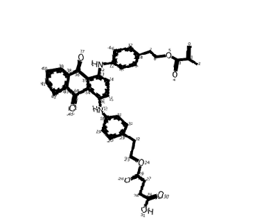 C=C(C)C(=O)OCCc1ccc(Nc2ccc(Nc3ccc(CCOC(=O)CCC(=O)O)cc3)c3c2C(=O)c2ccccc2C3=O)cc1